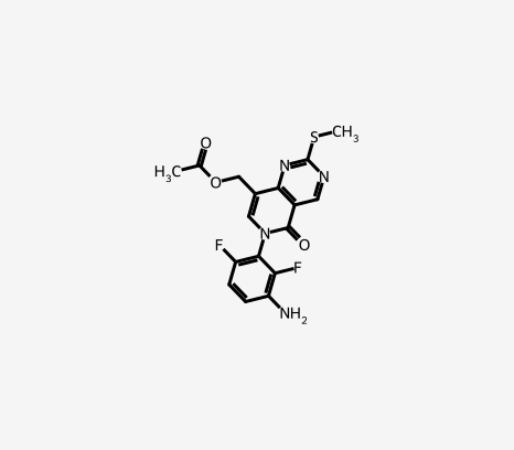 CSc1ncc2c(=O)n(-c3c(F)ccc(N)c3F)cc(COC(C)=O)c2n1